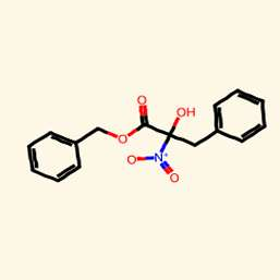 O=C(OCc1ccccc1)C(O)(Cc1ccccc1)[N+](=O)[O-]